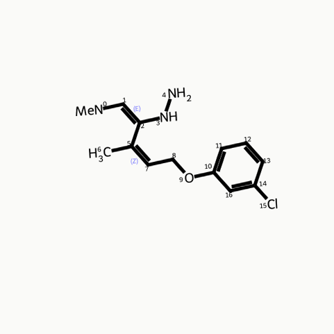 CN/C=C(NN)\C(C)=C/COc1cccc(Cl)c1